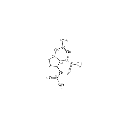 O=C(O)OC1CCC(OC(=O)O)C1OC(=O)O